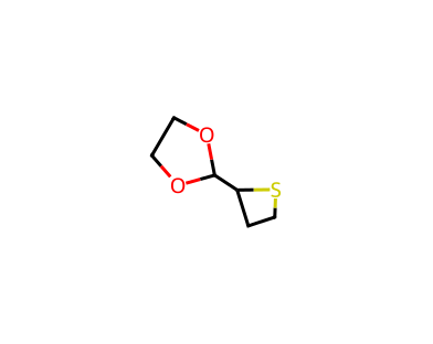 C1COC(C2CCS2)O1